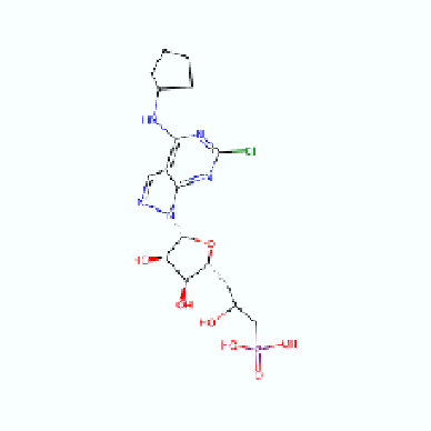 O=P(O)(O)CC(O)C[C@H]1O[C@@H](n2ncc3c(NC4CCCC4)nc(Cl)nc32)[C@H](O)[C@@H]1O